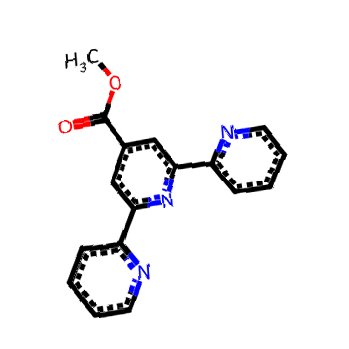 COC(=O)c1cc(-c2ccccn2)nc(-c2ccccn2)c1